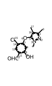 Cc1nn(C)c(Oc2cc(O)c(C=O)cc2Cl)c1C